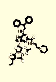 CCc1cc([C@H]2O[C@@H](n3cnc4c(NCC(c5ccccc5)c5ccccc5)nc(C(=O)NCCN5CCCCC5)nc43)[C@H](OC(C)=O)[C@@H]2OC(C)=O)on1